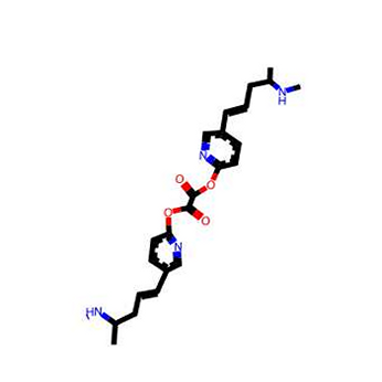 CNC(C)C/C=C/c1ccc(OC(=O)C(=O)Oc2ccc(/C=C/CC(C)NC)cn2)nc1